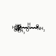 CN1C(=O)N[C@H]2CS[C@@H](CCCCC(=O)NCCCCCC(N)=O)[C@H]21